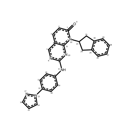 O=c1ccc2cnc(Nc3ccc(-n4cccn4)cc3)nc2n1C1Cc2ccccc2C1